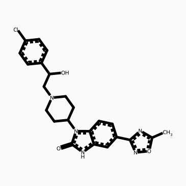 Cc1nc(-c2ccc3c(c2)[nH]c(=O)n3C2CCN(CC(O)c3ccc(Cl)cc3)CC2)no1